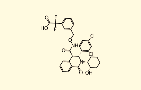 O=C(NOCc1cccc(C(F)(F)C(=O)O)c1)[C@@H]1c2ccccc2C(=O)N([C@H]2CCCC[C@@H]2O)[C@H]1c1ccc(Cl)cc1Cl